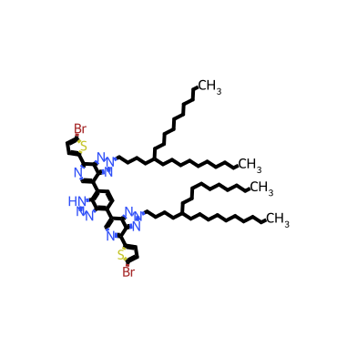 CCCCCCCCCCC(CCCCCCCCCC)CCCCn1nc2c(-c3ccc(-c4cnc(-c5ccc(Br)s5)c5nn(CCCCC(CCCCCCCCCC)CCCCCCCCCC)nc45)c4[nH]nnc34)cnc(-c3ccc(Br)s3)c2n1